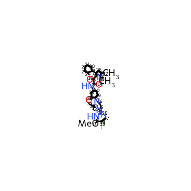 COC1NC(N2CCN3c4ccc(NC(=O)C(=O)c5c(-c6ccccc6)cc(C)n5C)cc4OCC3C2)=NC=C1F